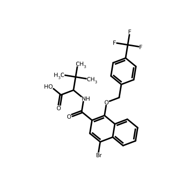 CC(C)(C)C(NC(=O)c1cc(Br)c2ccccc2c1OCc1ccc(C(F)(F)F)cc1)C(=O)O